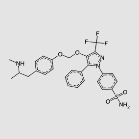 CNC(C)Cc1ccc(OCOc2c(C(F)(F)F)nn(-c3ccc(S(N)(=O)=O)cc3)c2-c2ccccc2)cc1